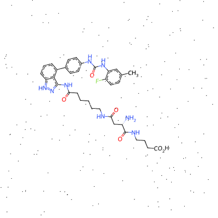 Cc1ccc(F)c(NC(=O)Nc2ccc(-c3cccc4[nH]nc(NC(=O)CCCCCNC(=O)C[C@H](N)C(=O)NCCCC(=O)O)c34)cc2)c1